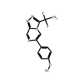 CCOc1ccc(-c2cn3c(C(C)(F)F)nnc3cn2)cc1